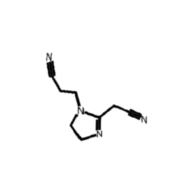 N#CCCN1CCN=C1CC#N